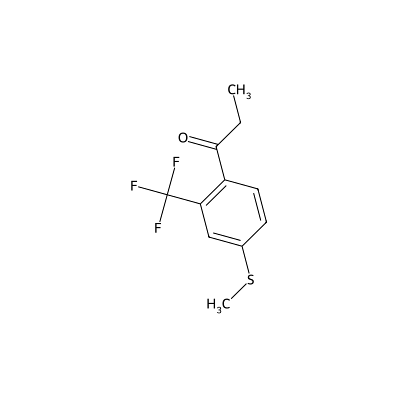 CCC(=O)c1ccc(SC)cc1C(F)(F)F